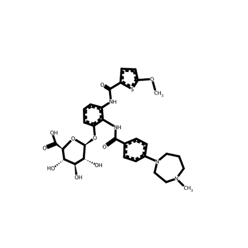 COc1ccc(C(=O)Nc2cccc(O[C@@H]3O[C@H](C(=O)O)[C@@H](O)[C@H](O)[C@H]3O)c2NC(=O)c2ccc(N3CCCN(C)CC3)cc2)s1